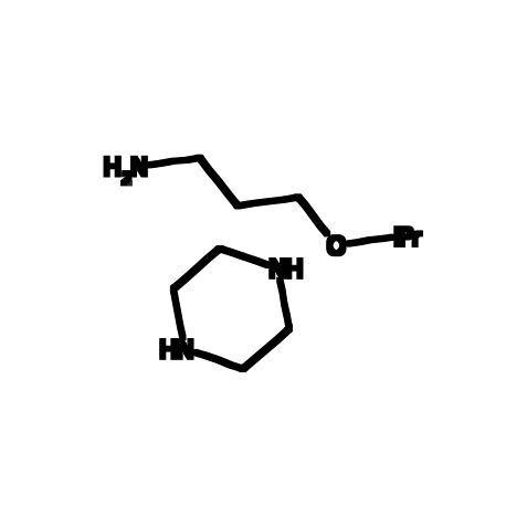 C1CNCCN1.CC(C)OCCCN